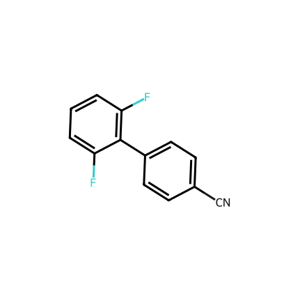 N#Cc1ccc(-c2c(F)cccc2F)cc1